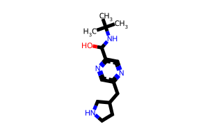 CC(C)(C)NC(O)c1cnc(CC2CCNC2)cn1